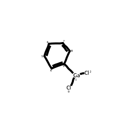 [Cl][Ga]([Cl])[c]1ccccc1